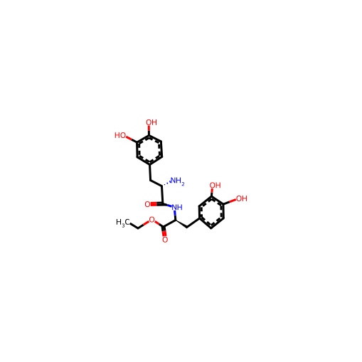 CCOC(=O)[C@H](Cc1ccc(O)c(O)c1)NC(=O)[C@@H](N)Cc1ccc(O)c(O)c1